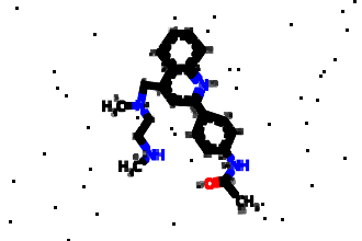 CNCCN(C)Cc1cc(-c2ccc(NC(C)=O)cc2)nc2ccccc12